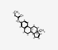 CCC(=O)Oc1ccc2c(c1)CCC1C2CC[C@]2(C)C=CCC12